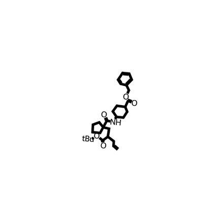 C=CCC(CC1(C(=O)NC2CCC(C(=O)OCc3ccccc3)CC2)CCCC1)C(=O)OC(C)(C)C